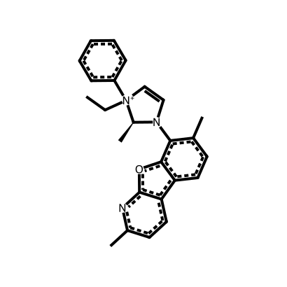 CC[N+]1(c2ccccc2)C=CN(c2c(C)ccc3c2oc2nc(C)ccc23)[C@H]1C